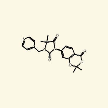 CC1(C)OC(=O)c2ccc(N3C(=O)N(Cc4ccncc4)C(C)(C)C3=O)cc2O1